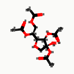 CCCC(=O)OC[C@@H](OC(=O)CCC)[C@H]1OC[C@](O)(OC(=O)CCC)[C@H]1OC(=O)CCC